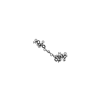 COc1cnc(OC)n2nc(NS(=O)(=O)c3c(OCCOCCOCCOc4ccc5c(c4)C(=O)N(C4CCC(=O)NC4=O)C5=O)cccc3C(F)(F)F)nc12